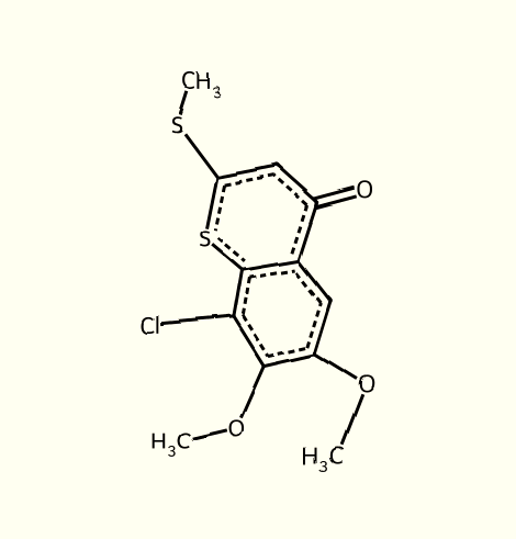 COc1cc2c(=O)cc(SC)sc2c(Cl)c1OC